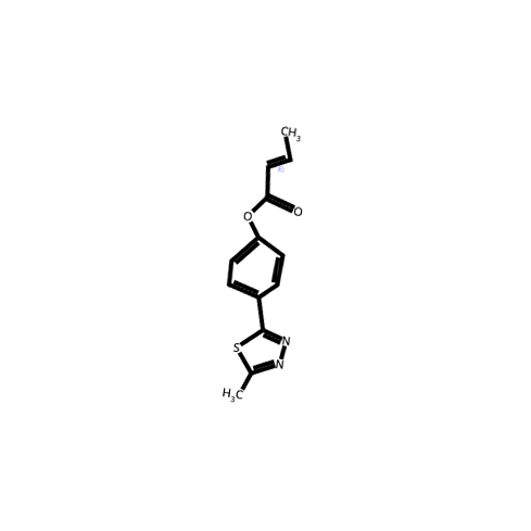 C/C=C/C(=O)Oc1ccc(-c2nnc(C)s2)cc1